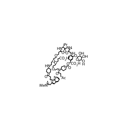 CNN(C)Cc1cc2cccnc2n1CCC(=O)N1CCC(NCCOCCOCCC(=O)N[C@H](C(=O)N[C@@H](C)C(=O)Nc2ccc(COC(=O)N3CCC(N(CCOCCOCCC(=O)O)C(=O)CCC(C)=O)CC3)cc2O[C@@H]2O[C@H](C(=O)O)[C@@H](O)[C@H](O)[C@H]2O)C(C)C)CC1